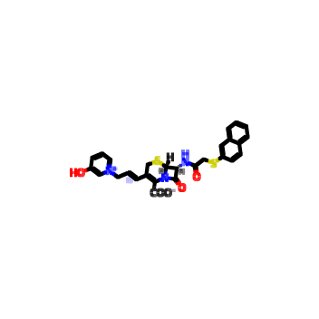 O=C(CSc1ccc2ccccc2c1)N[C@@H]1C(=O)N2C(C(=O)[O-])=C(/C=C/C[n+]3cccc(O)c3)CS[C@H]12